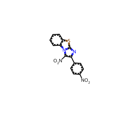 O=[N+]([O-])c1ccc(-c2nc3sc4ccccc4n3c2[N+](=O)[O-])cc1